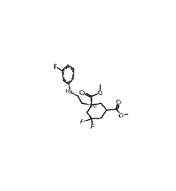 COC(=O)C1CC(F)(F)C[C@](CCNc2cccc(F)c2)(C(=O)OC)C1